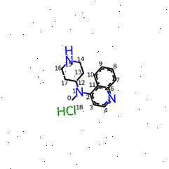 CN(c1ccnc2ccccc12)C1CCNCC1.Cl